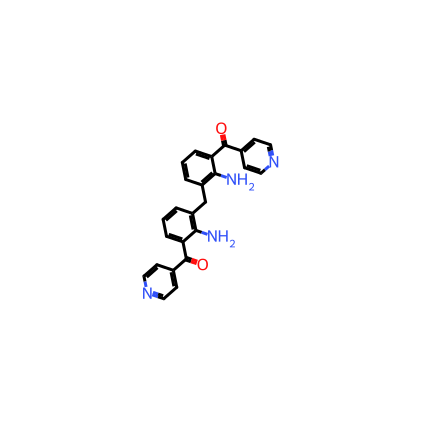 Nc1c(Cc2cccc(C(=O)c3ccncc3)c2N)cccc1C(=O)c1ccncc1